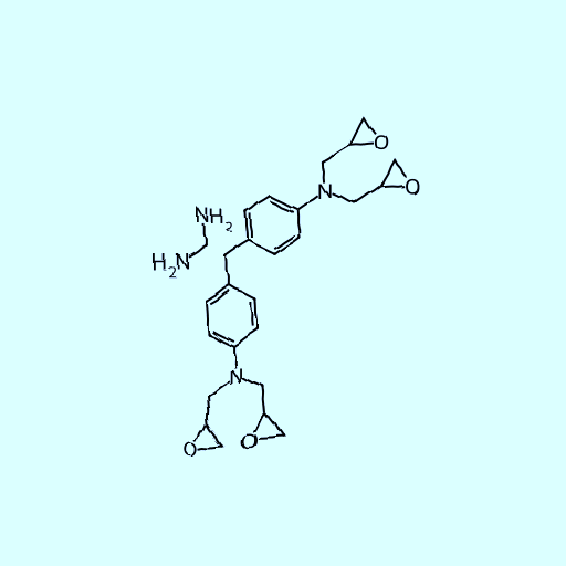 NCN.c1cc(N(CC2CO2)CC2CO2)ccc1Cc1ccc(N(CC2CO2)CC2CO2)cc1